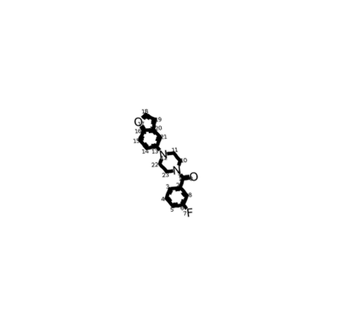 O=C(c1cccc(F)c1)N1CCN(c2ccc3occc3c2)CC1